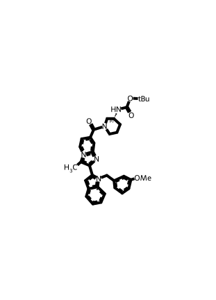 COc1cccc(Cn2c(-c3nc4cc(C(=O)N5CCC[C@@H](NC(=O)OC(C)(C)C)C5)ccn4c3C)cc3ccccc32)c1